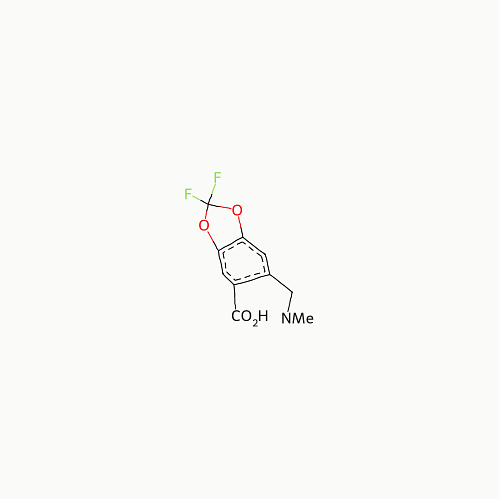 CNCc1cc2c(cc1C(=O)O)OC(F)(F)O2